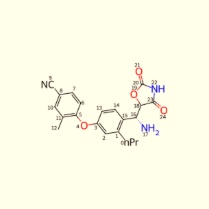 CCCc1cc(Oc2ccc(C#N)cc2C)ccc1[C@@H](N)C1OC(=O)NC1=O